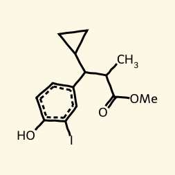 COC(=O)C(C)C(c1ccc(O)c(I)c1)C1CC1